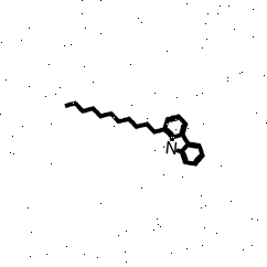 CCCCCCCCCCCc1cccc2c1[N]c1ccccc1-2